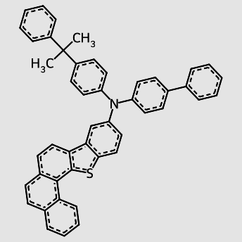 CC(C)(c1ccccc1)c1ccc(N(c2ccc(-c3ccccc3)cc2)c2ccc3sc4c(ccc5ccc6ccccc6c54)c3c2)cc1